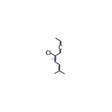 CC=C=C/C(Cl)=C\C=C(C)C